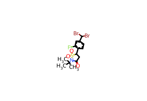 CC(C)(C)N1C(=O)CC(c2ccc(C(Br)Br)cc2F)S1(=O)=O